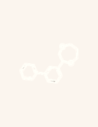 c1ccc(-c2cccc(C3COCCCO3)c2)cc1